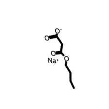 CCCCOC(=O)CC(=O)[O-].[Na+]